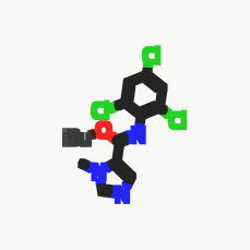 CCC(C)OC(=Nc1c(Cl)cc(Cl)cc1Cl)c1cncn1C